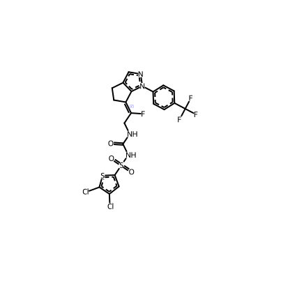 O=C(NC/C(F)=C1\CCc2cnn(-c3ccc(C(F)(F)F)cc3)c21)NS(=O)(=O)c1cc(Cl)c(Cl)s1